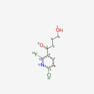 O=C(CCCO)c1ccc(Cl)nc1F